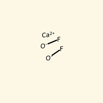 [Ca+2].[O-]F.[O-]F